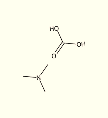 CN(C)C.O=C(O)O